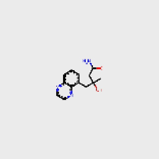 CC(O)(CC(N)=O)Cc1cccc2nccnc12